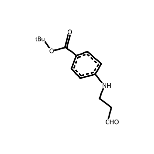 CC(C)(C)OC(=O)c1ccc(NCCC=O)cc1